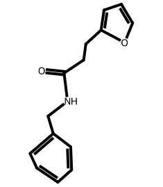 O=C(CCc1ccco1)NCc1ccccc1